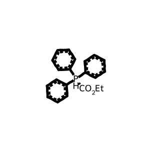 CCOC(=O)[PH](c1ccccc1)(c1ccccc1)c1ccccc1